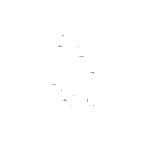 CC1(N)CCN(c2cnc(Sc3cccc(N4CCC(CN5CCN(c6ccc7c(c6)CN(C6CCC(=O)NC6=O)C7=O)CC5)CC4)c3)cn2)CC1